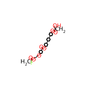 C=C(F)C(=O)OCCCOc1ccc(C(=O)Oc2ccc(-c3ccc(-c4ccc(OC(=O)C(=C)CO)cc4)cc3)cc2)cc1